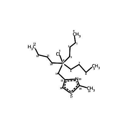 CCCCP(Cl)(CCCC)(CCCC)Cc1csc(C)n1